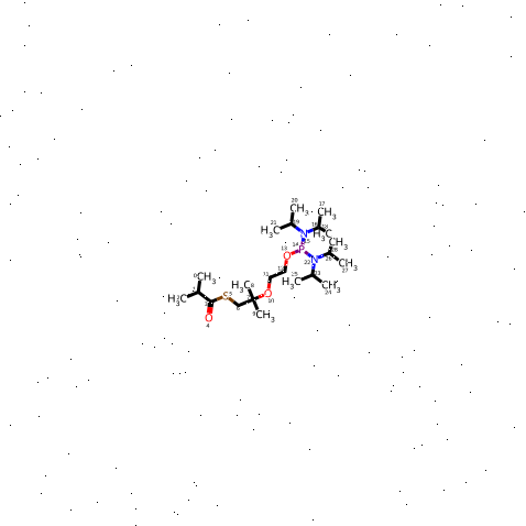 CC(C)C(=O)SCC(C)(C)OCCOP(N(C(C)C)C(C)C)N(C(C)C)C(C)C